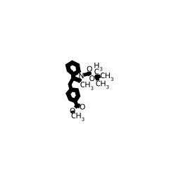 COC(=O)c1ccc(Cc2c(C)n(C(=O)OC(C)(C)C)c3ccccc23)cc1